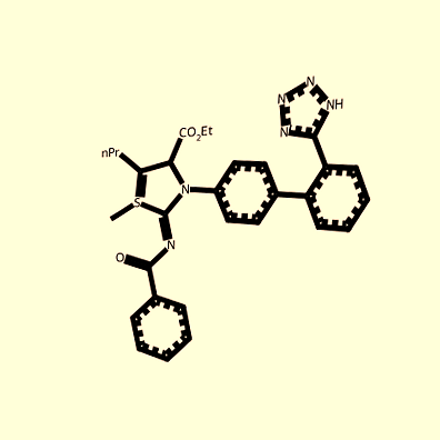 CCCC1=S(C)C(=NC(=O)c2ccccc2)N(c2ccc(-c3ccccc3-c3nnn[nH]3)cc2)C1C(=O)OCC